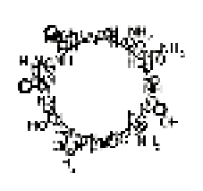 CCCCC[C@H]1C(=O)N(C)[C@@H](CCCC)C(=O)N[C@@H](CCN)C(=O)N[C@H](C(=O)NCC(N)=O)CSCC(=O)N[C@@H](Cc2ccc(O)cc2)C(=O)N(C)[C@@H](C)C(=O)N[C@@H](CC(N)=O)C(=O)N2CCC[C@H]2C(=O)N[C@@H](CN)C(=O)N[C@@H](CCC(N)=O)C(=O)N2C[C@H](O)C[C@H]2C(=O)N[C@@H](Cc2c[nH]c3ccccc23)C(=O)N[C@@H](CCN)C(=O)N[C@@H](Cc2c[nH]c3ccccc23)C(=O)N1C